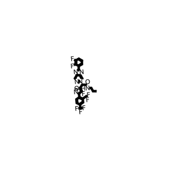 CCCNC(=O)C(c1cc(-c2ccc(C(F)(F)F)cc2C(F)(F)F)no1)n1cc2nc(-c3cccc(F)c3F)nc-2cn1